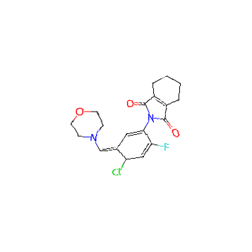 O=C1C2=C(CCCC2)C(=O)N1C1=CC(=CN2CCOCC2)C(Cl)C=C1F